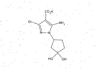 CCc1nn(C2CCS(O)(O)C2)c(N)c1C(=O)O